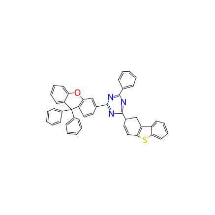 C1=CC(c2nc(-c3ccccc3)nc(-c3ccc4c(c3)Oc3ccccc3C4(c3ccccc3)c3ccccc3)n2)Cc2c1sc1ccccc21